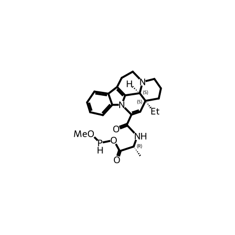 CC[C@@]12C=C(C(=O)N[C@H](C)C(=O)OPOC)n3c4c(c5ccccc53)CCN(CCC1)[C@H]42